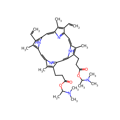 C=CC1=C(C)c2cc3[nH]c(cc4nc(cc5[nH]c(cc1n2)c(C)c5CCC(=O)OC(C)N(C)C)C(CCC(=O)OC(C)N(C)C)=C4C)c(C)c3C=C